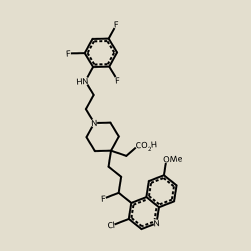 COc1ccc2ncc(Cl)c(C(F)CCC3(CC(=O)O)CCN(CCNc4c(F)cc(F)cc4F)CC3)c2c1